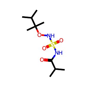 CC(C)C(=O)NS(=O)(=O)NOC(C)(C)C(C)C